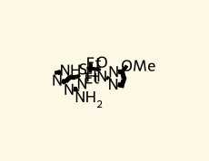 CCC(CC)(Sc1nc(N)nc2nc[nH]c12)C(=O)Nc1nccc(OC)n1